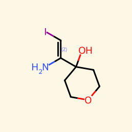 N/C(=C\I)C1(O)CCOCC1